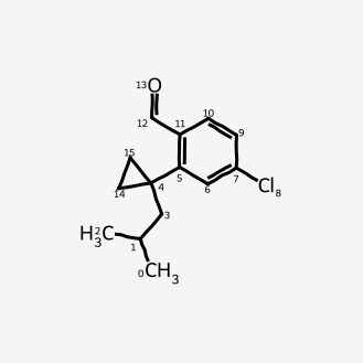 CC(C)CC1(c2cc(Cl)ccc2C=O)CC1